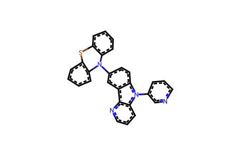 c1cncc(-n2c3ccc(N4c5ccccc5Sc5ccccc54)cc3c3ncccc32)c1